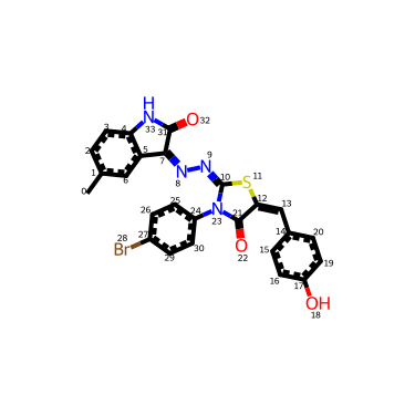 Cc1ccc2c(c1)C(=NN=C1SC(=Cc3ccc(O)cc3)C(=O)N1c1ccc(Br)cc1)C(=O)N2